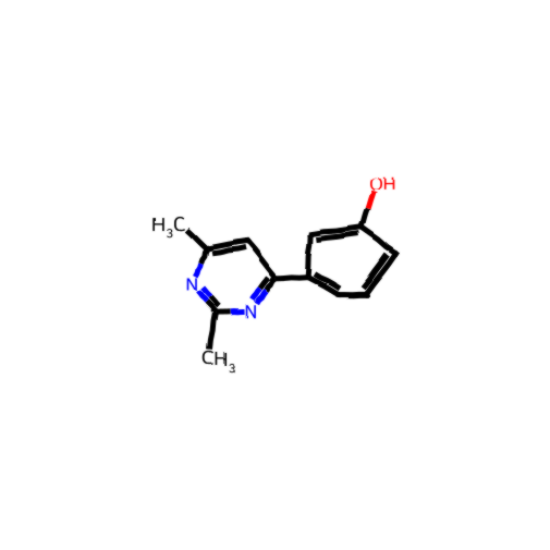 Cc1cc(-c2cccc(O)c2)nc(C)n1